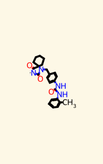 Cc1ccccc1NC(=O)Nc1ccc(CN2C(=O)[N]C(=O)C23CCCCC3)cc1